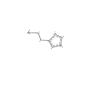 CC(=O)CCc1cnco1